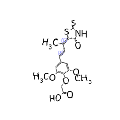 COc1cc(/C=C/C(C)=C2/SC(=S)NC2=O)cc(OC)c1OCC(=O)O